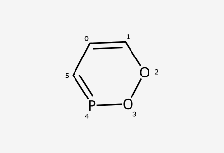 C1=COOP=C1